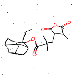 CCC1(OC(=O)C(C)(C)CC2C(=O)OC(=O)C2C)C2CC3CC(C2)CC1C3